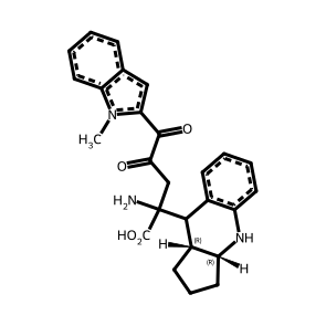 Cn1c(C(=O)C(=O)CC(N)(C(=O)O)C2c3ccccc3N[C@@H]3CCC[C@H]23)cc2ccccc21